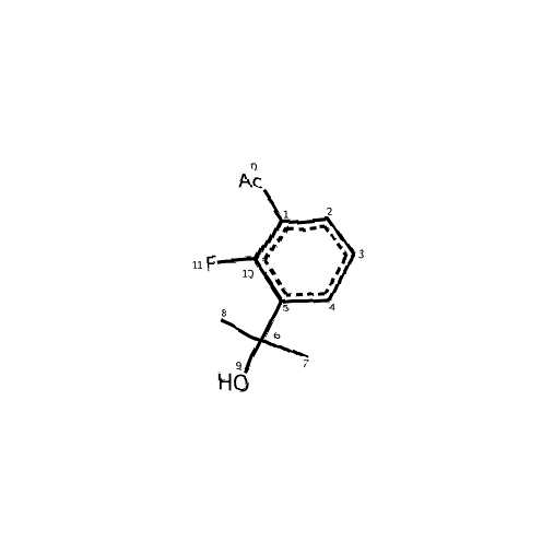 CC(=O)c1cccc(C(C)(C)O)c1F